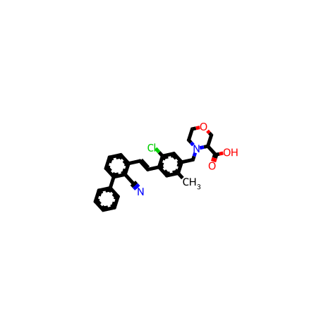 Cc1cc(/C=C/c2cccc(-c3ccccc3)c2C#N)c(Cl)cc1CN1CCOCC1C(=O)O